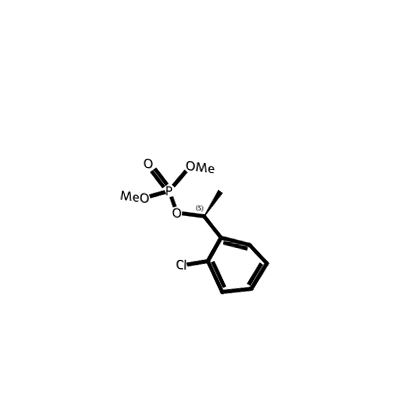 COP(=O)(OC)O[C@@H](C)c1ccccc1Cl